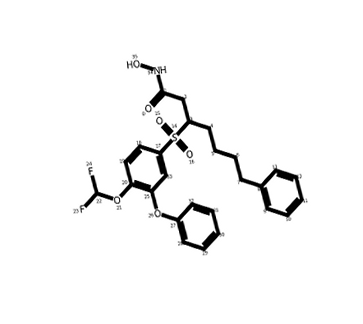 O=C(CC(CCCCc1ccccc1)S(=O)(=O)c1ccc(OC(F)F)c(Oc2ccccc2)c1)NO